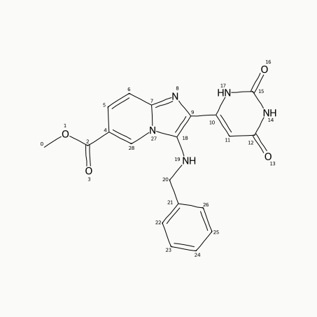 COC(=O)c1ccc2nc(-c3cc(=O)[nH]c(=O)[nH]3)c(NCc3ccccc3)n2c1